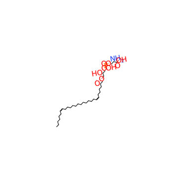 CCCCCC/C=C\CCCCCCCCCCCC/C=C\CCCCC(COC[C@@H](O)COP(=O)(O)OC[C@H](N)C(=O)O)OC